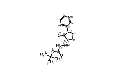 CC(C)(C)OC(=O)NN[C@H]1CCN(c2cnccn2)C1=O